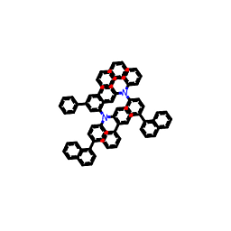 c1ccc(-c2cc(N(c3ccc(-c4cccc5ccccc45)cc3)c3ccccc3-c3ccccc3)c3cc(N(c4ccc(-c5cccc6ccccc56)cc4)c4ccccc4-c4ccccc4)c(-c4ccccc4)cc3c2)cc1